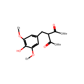 CCOc1cc(CC(C(=O)OC)C(=O)OC)cc(OCC)c1O